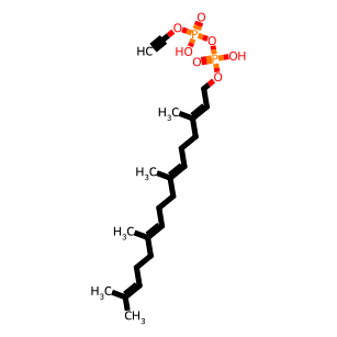 C#COP(=O)(O)OP(=O)(O)OC/C=C(\C)CC/C=C(\C)CC/C=C(\C)CCC=C(C)C